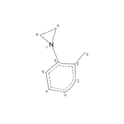 Cc1ccccc1N1CC1